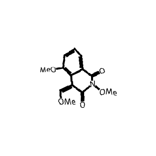 COC=C1C(=O)N(OC)C(=O)c2cccc(OC)c21